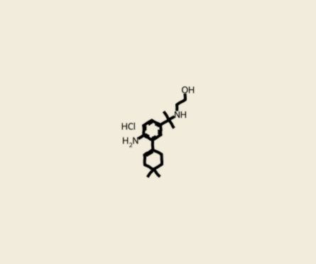 CC1(C)CC=C(c2cc(C(C)(C)NCCO)ccc2N)CC1.Cl